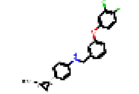 O=C(O)[C@@H]1C[C@H]1c1ccc(NCc2cccc(Oc3ccc(Cl)c(Cl)c3)c2)cc1